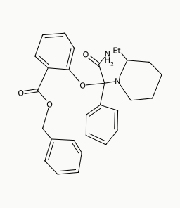 CCC1CCCCN1C(Oc1ccccc1C(=O)OCc1ccccc1)(C(N)=O)c1ccccc1